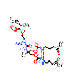 C=C(C)C(=O)OCCNC(=O)NC(CC)(COC(=O)NCCC[Si](=O)CC)COC(=O)NCCC[Si](=O)CC